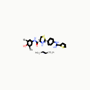 CC(C)(C)c1cc(NC(=O)[C@@H]2CS[C@H](c3ccc(NC(=N)c4cccs4)cc3)N2)cc(C(C)(C)C)c1O.O=C(O)/C=C/C(=O)O